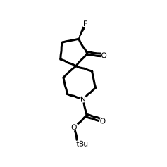 CC(C)(C)OC(=O)N1CCC2(CC[C@@H](F)C2=O)CC1